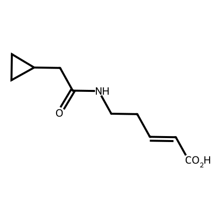 O=C(O)C=CCCNC(=O)CC1CC1